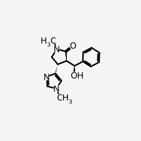 CN1C[C@@H](c2cn(C)cn2)[C@H]([C@H](O)c2ccccc2)C1=O